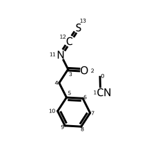 CC#N.O=C(Cc1ccccc1)N=C=S